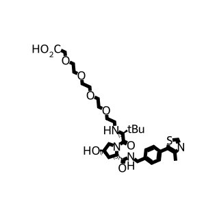 Cc1ncsc1-c1ccc(CNC(=O)[C@@H]2C[C@@H](O)CN2C(=O)[C@@H](NCCOCCOCCOCCOCC(=O)O)C(C)(C)C)cc1